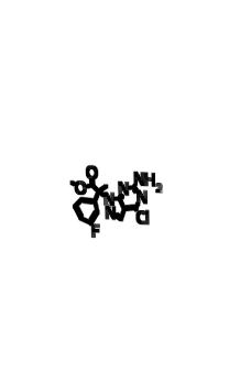 COC(=O)C(C)(c1cccc(F)c1)n1ncc2c(Cl)nc(N)nc21